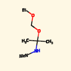 CCOCOC(C)(C)NNC